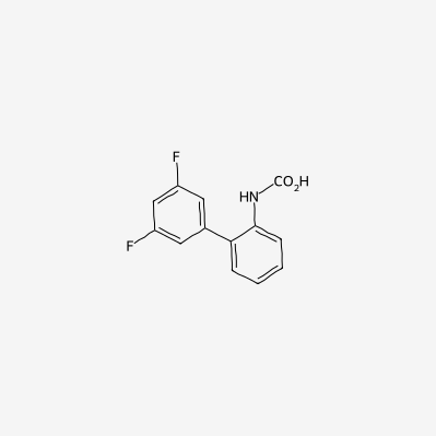 O=C(O)Nc1ccccc1-c1cc(F)cc(F)c1